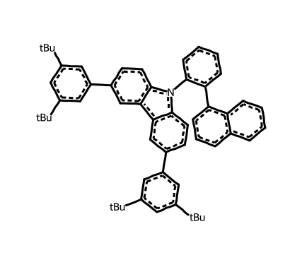 CC(C)(C)c1cc(-c2ccc3c(c2)c2cc(-c4cc(C(C)(C)C)cc(C(C)(C)C)c4)ccc2n3-c2ccccc2-c2cccc3ccccc23)cc(C(C)(C)C)c1